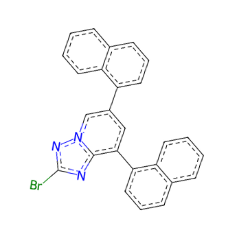 Brc1nc2c(-c3cccc4ccccc34)cc(-c3cccc4ccccc34)cn2n1